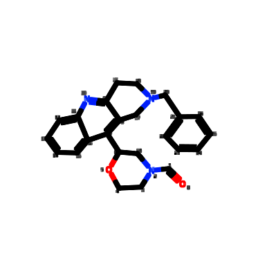 O=CN1CCOC(c2c3c(nc4ccccc24)CCN(Cc2ccccc2)C3)C1